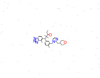 CCC(=O)C(C)(C)C(c1ccc(C)c(Cn2ccnc2CC2CCOCC2)c1)c1ccc2c(nnn2C)c1C